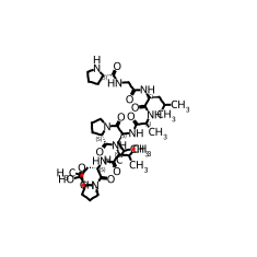 CC(C)C[C@H](NC(=O)CNC(=O)[C@@H]1CCCN1)C(=O)N[C@@H](C)C(=O)N[C@@H](CC(C)C)C(=O)N1CCC[C@H]1C(=O)N[C@H](C(=O)N[C@@H](CC(C)C)C(=O)N1CCC[C@H]1C(=O)O)C(C)C